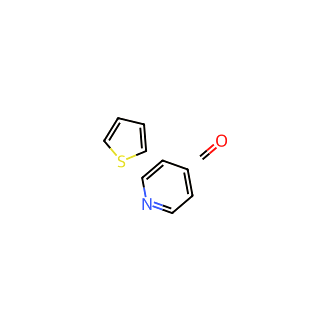 C=O.c1ccncc1.c1ccsc1